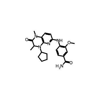 COc1cc(C(N)=O)ccc1Nc1ccc2c(n1)N(C1CCCC1)C(C)C(=O)N2C